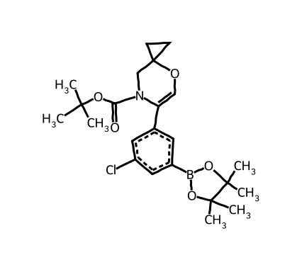 CC(C)(C)OC(=O)N1CC2(CC2)OC=C1c1cc(Cl)cc(B2OC(C)(C)C(C)(C)O2)c1